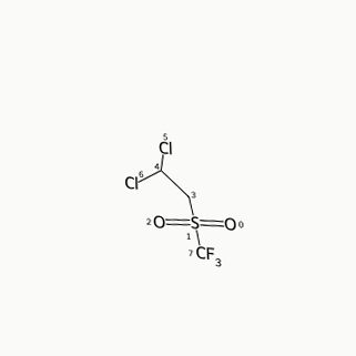 O=S(=O)(CC(Cl)Cl)C(F)(F)F